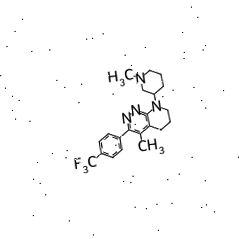 Cc1c(-c2ccc(C(F)(F)F)cc2)nnc2c1CCCN2C1CCCN(C)C1